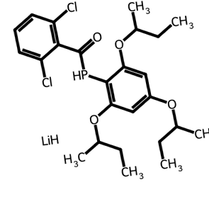 CCC(C)Oc1cc(OC(C)CC)c(PC(=O)c2c(Cl)cccc2Cl)c(OC(C)CC)c1.[LiH]